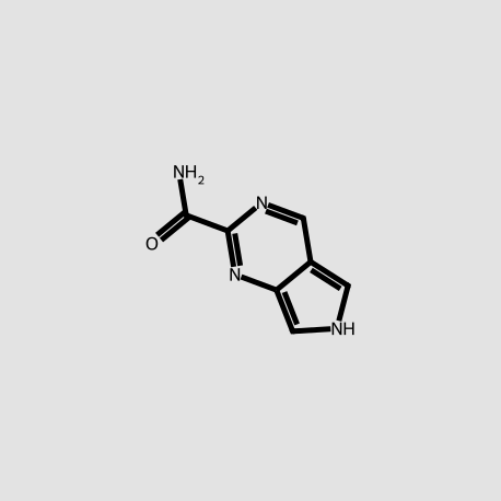 NC(=O)c1ncc2c[nH]cc2n1